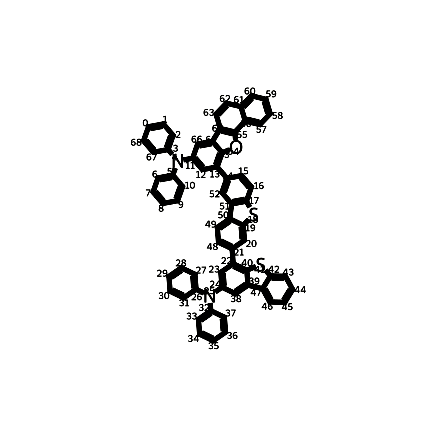 c1ccc(N(c2ccccc2)c2cc(-c3ccc4sc5cc(-c6cc(N(c7ccccc7)c7ccccc7)cc7c6sc6ccccc67)ccc5c4c3)c3oc4c5ccccc5ccc4c3c2)cc1